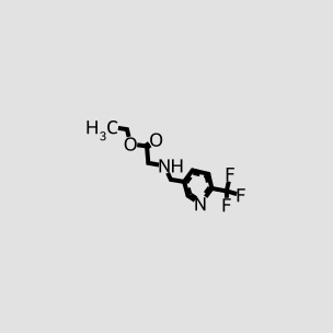 CCOC(=O)CNCc1ccc(C(F)(F)F)nc1